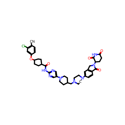 N#Cc1ccc(OC2CCC(C(=O)Nc3ncc(N4CCC(CN5CCN(c6ccc7c(c6)CN(C6CCC(=O)NC6=O)C7=O)CC5)CC4)cn3)CC2)cc1Cl